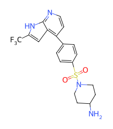 NC1CCN(S(=O)(=O)c2ccc(-c3ccnc4[nH]c(C(F)(F)F)cc34)cc2)CC1